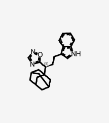 c1ccc2c(CC[C@H](c3ncno3)C34CC5CC(CC(C5)C3)C4)c[nH]c2c1